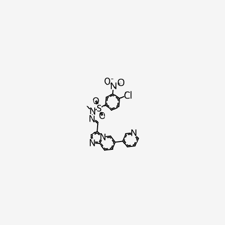 CN(N=Cc1cnc2ccc(-c3cccnc3)cn12)S(=O)(=O)c1ccc(Cl)c([N+](=O)[O-])c1